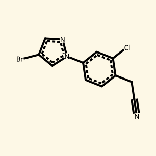 N#CCc1ccc(-n2cc(Br)cn2)cc1Cl